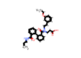 C=CCNC(=O)c1ccccc1-c1ccccc1C(=O)N(CCC(=O)O)CCc1cccc(OCC)c1